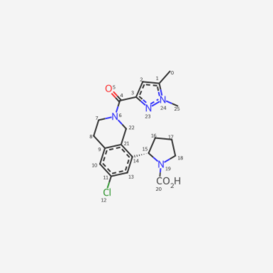 Cc1cc(C(=O)N2CCc3cc(Cl)cc([C@@H]4CCCN4C(=O)O)c3C2)nn1C